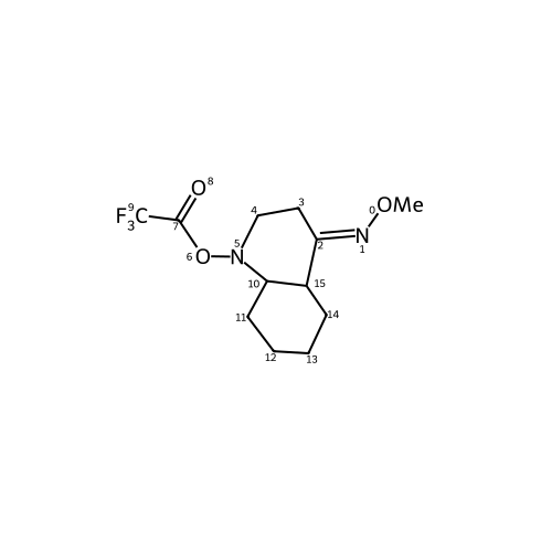 CON=C1CCN(OC(=O)C(F)(F)F)C2CCCCC12